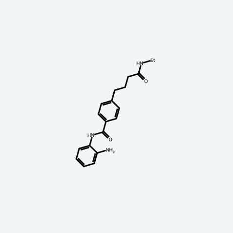 CCNC(=O)CCCc1ccc(C(=O)Nc2ccccc2N)cc1